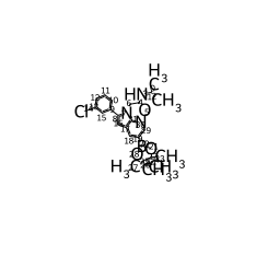 CC(C)NC(=O)Cn1c(-c2cccc(Cl)c2)cc2cc(B3OC(C)(C)C(C)(C)O3)cnc21